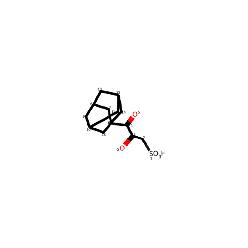 O=C(CS(=O)(=O)O)C(=O)C12CC3CC(CC(C3)C1)C2